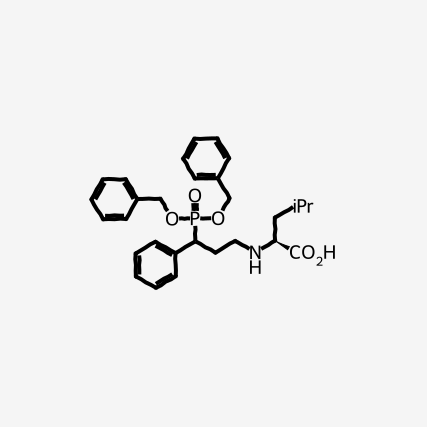 CC(C)C[C@H](NCCC(c1ccccc1)P(=O)(OCc1ccccc1)OCc1ccccc1)C(=O)O